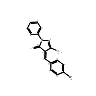 CC1=NN(c2ccccc2)C(=O)/C1=C/c1ccc(Br)cc1